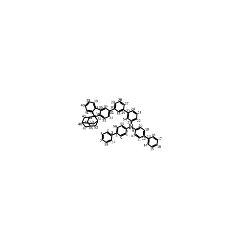 c1ccc(-c2ccc(N(c3ccc(-c4ccccc4)cc3)c3cccc(-c4cccc(-c5ccc6c(c5)-c5ccccc5C65C6CC7CC(C6)CC5C7)c4)c3)cc2)cc1